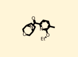 CCOc1nc(C(=O)N2C3CCC2COC3)ccc1C